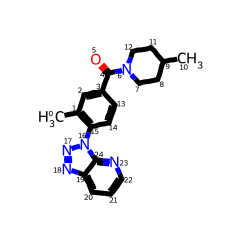 Cc1cc(C(=O)N2CCC(C)CC2)ccc1-n1nnc2cccnc21